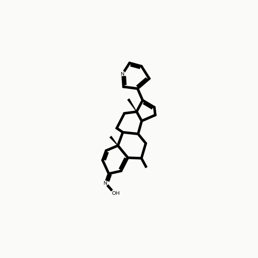 CC1CC2C(CC[C@]3(C)C(c4cccnc4)=CCC23)[C@@]2(C)C=C/C(=N/O)C=C12